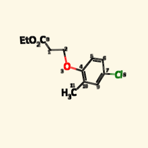 CCOC(=O)CCOc1ccc(Cl)cc1C